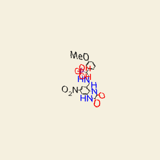 COc1cccc(C(CNCc2cc([N+](=O)[O-])cc3[nH]c(=O)c(=O)[nH]c23)P(=O)(O)O)c1